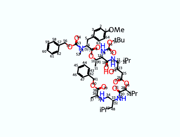 COc1ccc(C[C@@H](C(=O)O[C@H](C)[C@H](NC(=O)OC(C)(C)C)C(=O)N[C@H](C(C)C)[C@@H](O)CC(=O)O[C@H](C(=O)N[C@H](CN[C@@H](C)C(=O)OCc2ccccc2)CC(C)C)C(C)C)N(C)C(=O)OCc2ccccc2)cc1